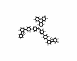 c1ccc2c(c1)oc1c(-c3ccc(-c4ccc(N(c5ccc(-c6ccc(-c7cccc8c7oc7ccccc78)cc6)cc5)c5ccc6c7ccccc7c7ccccc7c6c5)cc4)cc3)cccc12